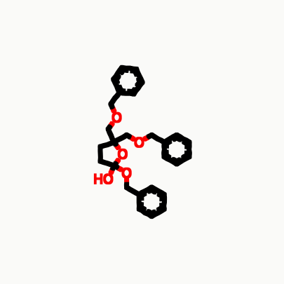 OC1(OCc2ccccc2)CCC(COCc2ccccc2)(COCc2ccccc2)O1